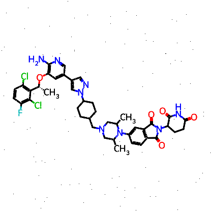 CC1CN(CC2CCC(n3cc(-c4cnc(N)c(O[C@H](C)c5c(Cl)ccc(F)c5Cl)c4)cn3)CC2)CC(C)N1c1ccc2c(c1)C(=O)N(C1CCC(=O)NC1=O)C2=O